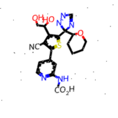 N#Cc1c(-c2ccnc(NC(=O)O)c2)sc(C2(C3CCCCO3)N=CN=N2)c1C(O)CO